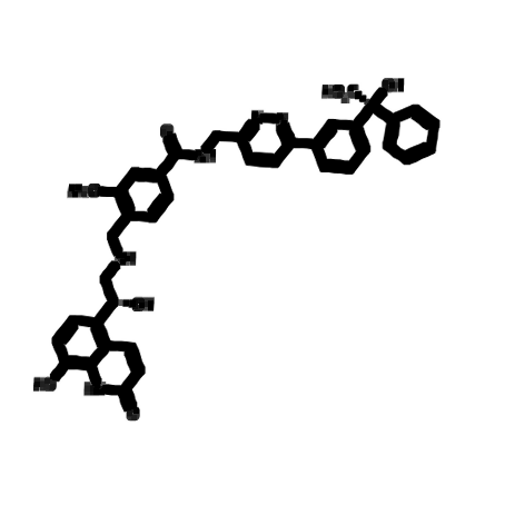 COc1cc(C(=O)NCc2ccc(-c3cccc([C@](O)(C(=O)O)c4ccccc4)c3)nn2)ccc1CNC[C@H](O)c1ccc(O)c2[nH]c(=O)ccc12